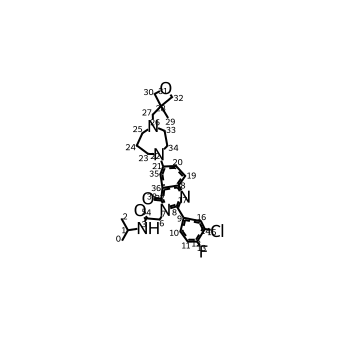 CC(C)NC(=O)Cn1c(-c2ccc(F)c(Cl)c2)nc2ccc(N3CCCN(CC4(C)COC4)CC3)cc2c1=O